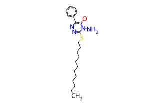 CCCCCCCCCCCCSc1nnc(-c2ccccc2)c(=O)n1N